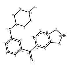 CN1CCC(Oc2cccc(C(=O)c3cc4c(cn3)CNC4)c2)CC1